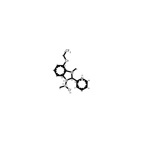 CN1c2c(OCC(F)(F)F)cccc2N([S+](C)[O-])C1c1ccccn1